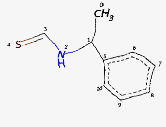 CC(NC=S)c1ccccc1